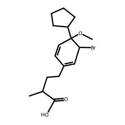 COC1(C2CCCC2)C=CC(CCC(C)C(=O)O)=CC1Br